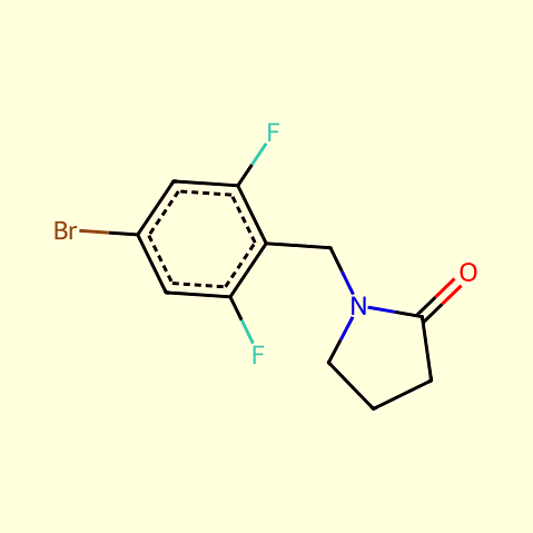 O=C1CCCN1Cc1c(F)cc(Br)cc1F